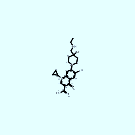 CCNCC1(O)CCN(c2cc3c(cc2F)c(=O)c(C(=O)O)cn3C2CC2)CC1